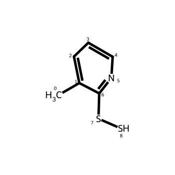 Cc1cccnc1SS